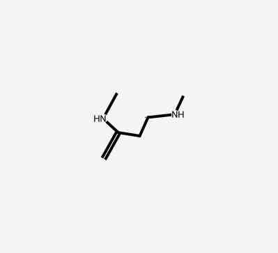 C=C(C[CH]NC)NC